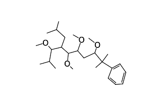 COC(CC(OC)C(C)(C)c1ccccc1)C(OC)C(CC(C)C)C(OC)C(C)C